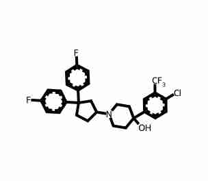 OC1(c2ccc(Cl)c(C(F)(F)F)c2)CCN(C2CCC(c3ccc(F)cc3)(c3ccc(F)cc3)C2)CC1